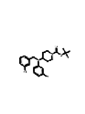 CC(C)(C)OC(=O)N1CCC(N(Cc2cccc(Cl)c2)c2cccc(F)c2)CC1